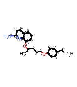 CC(CCCOc1ccc(CC(=O)O)cc1)Oc1cccc2ccc(N)nc12